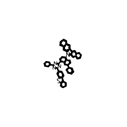 c1ccc(-c2ccc3c(-n4c5cc6ccccc6cc5c5cc6ccccc6cc54)ccc(-c4nc(-c5ccccc5)nc(-c5ccc6c(c5)sc5ccccc56)n4)c3c2)cc1